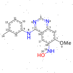 COc1cc2ncnc(Nc3cccc(C)c3)c2cc1NO